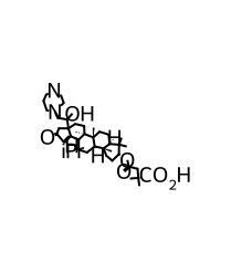 CC(C)C1=C2[C@H]3CC[C@@H]4[C@@]5(C)CC[C@H](OC(=O)CC(C)(C)C(=O)O)C(C)(C)[C@@H]5CC[C@@]4(C)[C@]3(C)CCC2(C(O)CN2CCCN(C)CC2)CC1=O